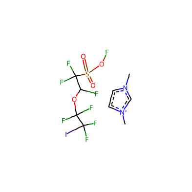 Cn1cc[n+](C)c1.O=S(=O)(OF)C(F)(F)C(F)OC(F)(F)C(F)(F)I